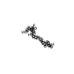 C=CCn1c(=O)c2cnc(Nc3ccc4c(c3)CN(CC3CCN(c5ccc6c(c5)C(=O)N(C5CCC(=O)NC5=O)C6=O)CC3)CC4)nc2n1-c1cccc(C(C)(C)O)n1